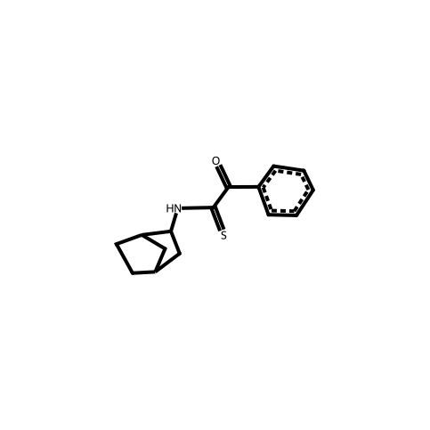 O=C(C(=S)NC1CC2CCC1C2)c1ccccc1